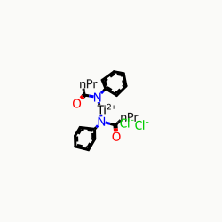 CCCC(=O)[N]([Ti+2][N](C(=O)CCC)c1ccccc1)c1ccccc1.[Cl-].[Cl-]